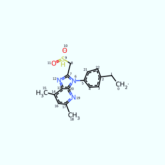 [CH2]Cc1ccc(-n2c(C[SH](=O)=O)nc3c(C)cc(C)nc32)cc1